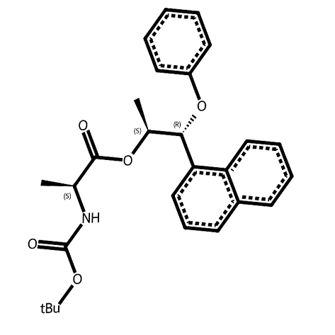 C[C@H](NC(=O)OC(C)(C)C)C(=O)O[C@@H](C)[C@H](Oc1ccccc1)c1cccc2ccccc12